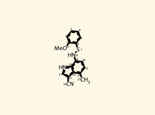 COc1ccccc1SNc1ccc(C)c2c(C#N)c[nH]c12